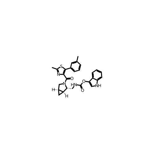 Cc1cccc(-c2sc(C)nc2C(=O)N2C[C@@H]3C[C@@H]3[C@H]2CNC(=O)Oc2c[nH]c3ccccc23)c1